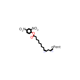 CCCCC/C=C\C/C=C\CCCCCCCC(=O)Oc1ccc([N+](=O)[O-])cc1[N+](=O)[O-]